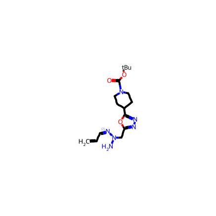 C=C/C=N\N(N)Cc1nnc(C2CCN(C(=O)OC(C)(C)C)CC2)o1